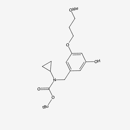 COCCCOc1cc(O)cc(CN(C(=O)OC(C)(C)C)C2CC2)c1